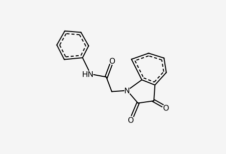 O=C(CN1C(=O)C(=O)c2ccccc21)Nc1ccccc1